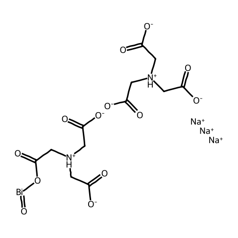 O=C([O-])C[NH+](CC(=O)[O-])CC(=O)[O-].[Na+].[Na+].[Na+].[O]=[Bi][O]C(=O)C[NH+](CC(=O)[O-])CC(=O)[O-]